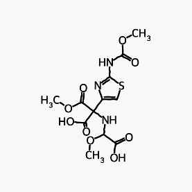 COC(=O)Nc1nc(C(NC(OC)C(=O)O)(C(=O)O)C(=O)OC)cs1